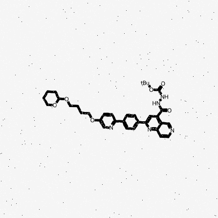 CC(C)(C)OC(=O)NNC(=O)c1cc(-c2ccc(-c3ccc(OCCCCOC4CCCCO4)cn3)cc2)nc2ccncc12